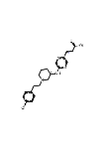 O=C(O)/C=C/c1cnc(N[C@@H]2CCCN(CCc3ccc(Cl)cc3)C2)cn1